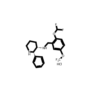 Cl.FC(F)Oc1ccc(OC(F)(F)F)cc1CN[C@H]1CCCN[C@H]1c1ccccc1